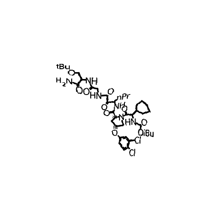 CCCC(NC(=O)[C@@H]1C[C@@H](Oc2ccc(Cl)c(Cl)c2)CN1C(=O)C(NC(=O)OCC(C)C)C1CCCCC1)C(=O)C(=O)NCC(=O)NC(COC(C)(C)C)C(N)=O